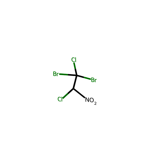 O=[N+]([O-])C(Cl)C(Cl)(Br)Br